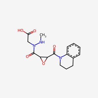 CNN(CC(=O)O)C(=O)C1OC1C(=O)N1CCCc2ccccc21